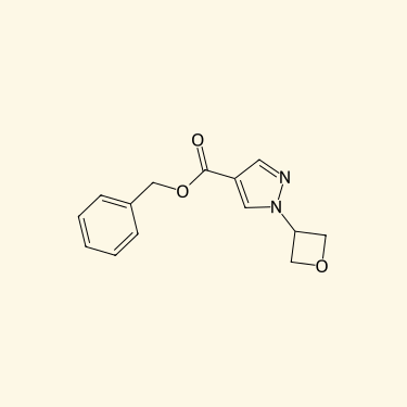 O=C(OCc1ccccc1)c1cnn(C2COC2)c1